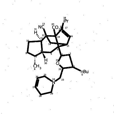 CCCCC1CC(C23C[C@@H]4[C@H](C)CC[C@H]4C4(C#N)CC2C=C(C(C)C)C34C(=O)O)OC1CN1CC=CCC1